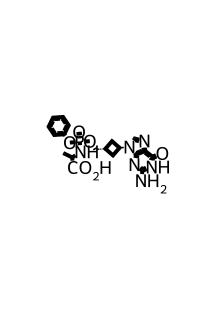 CC(NP(=O)(OC[C@H]1C[C@@H](n2cnc3c(=O)[nH]c(N)nc32)C1)Oc1ccccc1)C(=O)O